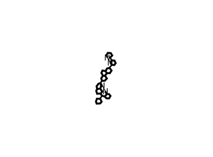 c1ccc(-c2c3ccccc3nc3c2ccc2ccc(-c4ccc5c(ccc6cc(-c7cccc(-c8ccccn8)n7)ccc65)c4)nc23)cc1